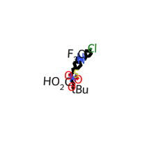 CC(C)(C)OC[C@H](C(=O)O)N1C(=O)S/C(=C\c2ccc3c(cnn3Cc3ccc(Cl)cc3C(F)(F)F)c2)C1=O